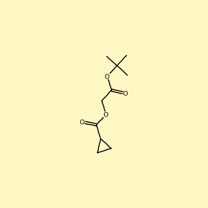 CC(C)(C)OC(=O)COC(=O)C1CC1